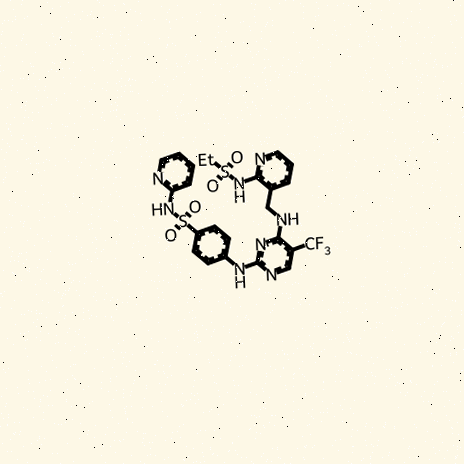 CCS(=O)(=O)Nc1ncccc1CNc1nc(Nc2ccc(S(=O)(=O)Nc3ccccn3)cc2)ncc1C(F)(F)F